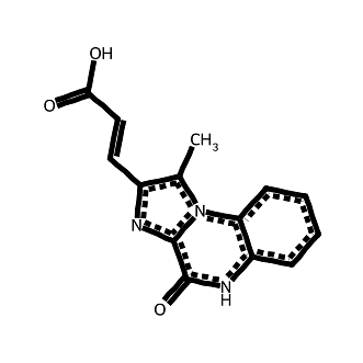 Cc1c(C=CC(=O)O)nc2c(=O)[nH]c3ccccc3n12